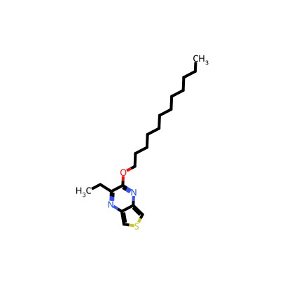 CCCCCCCCCCCCOc1nc2cscc2nc1CC